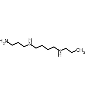 CCCNCCCCNCCCN